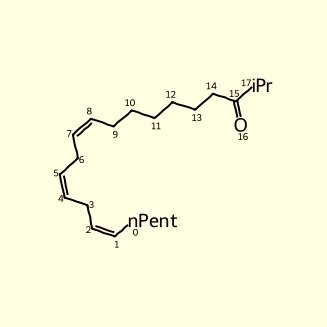 CCCCC/C=C\C/C=C\C/C=C\CCCCCCC(=O)C(C)C